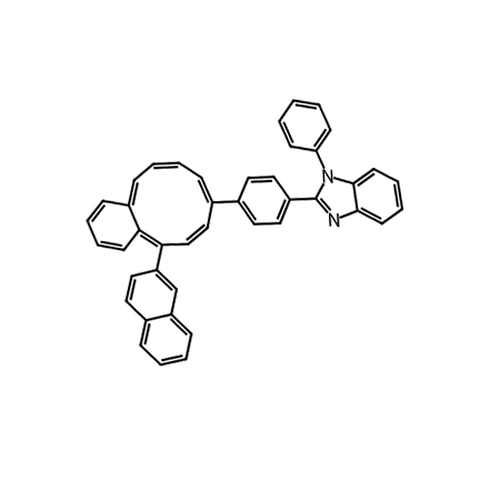 c1ccc(-n2c(-c3ccc(-c4ccccc5ccccc5c(-c5ccc6ccccc6c5)cc4)cc3)nc3ccccc32)cc1